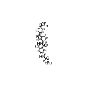 CC(C)(C)CC(=O)NCc1ccc(Cl)c(C(=O)Nc2cccc3c2cnn3-c2ccc(OC(F)(F)F)cc2)c1